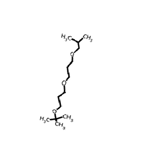 CC(C)COCCCOCCCOC(C)(C)C